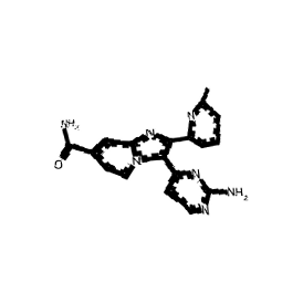 Cc1cccc(-c2nc3cc(C(N)=O)ccn3c2-c2ccnc(N)n2)n1